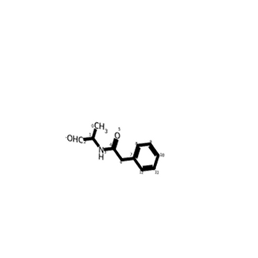 CC([C]=O)NC(=O)Cc1ccccc1